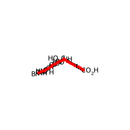 O=C(O)CCCCCCCCCCCCCCCCCCCN[C@@H](CCC(=O)NCCOCCOCC(=O)NCCOCCOCC(=O)NCCNC(=O)CBr)C(=O)O